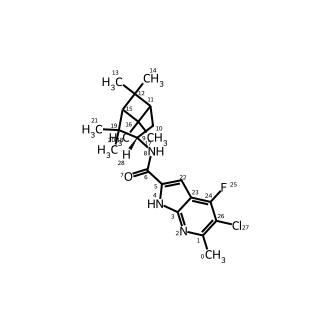 Cc1nc2[nH]c(C(=O)N[C@H]3CC4C(C)(C)C(C4(C)C)C3(C)C)cc2c(F)c1Cl